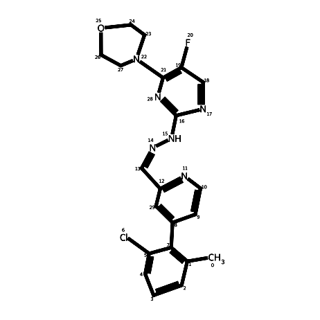 Cc1cccc(Cl)c1-c1ccnc(/C=N\Nc2ncc(F)c(N3CCOCC3)n2)c1